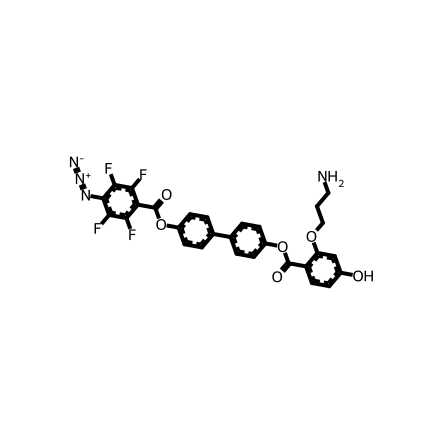 [N-]=[N+]=Nc1c(F)c(F)c(C(=O)Oc2ccc(-c3ccc(OC(=O)c4ccc(O)cc4OCCCN)cc3)cc2)c(F)c1F